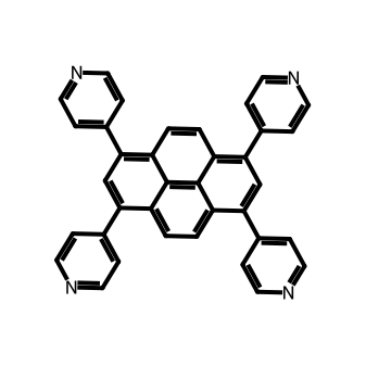 c1cc(-c2cc(-c3ccncc3)c3ccc4c(-c5ccncc5)cc(-c5ccncc5)c5ccc2c3c54)ccn1